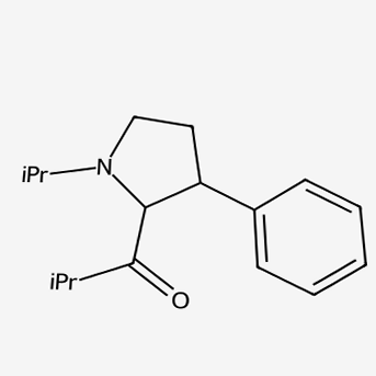 CC(C)C(=O)C1C(c2ccccc2)CCN1C(C)C